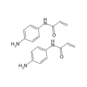 C=CC(=O)Nc1ccc(N)cc1.C=CC(=O)Nc1ccc(N)cc1